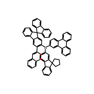 c1ccc2c(c1)-c1ccc(N(c3ccc4c5ccccc5c5ccccc5c4c3)c3cc4c(cc3-c3ccc5ccccc5c3)-c3ccccc3C43c4ccccc4-c4ccccc43)cc1C21CCCC1